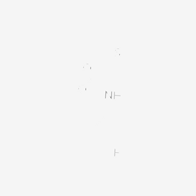 COC(=O)[C@H](CCSC)NCc1ccc(F)cc1